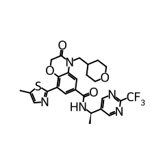 Cc1cnc(-c2cc(C(=O)N[C@H](C)c3cnc(C(F)(F)F)nc3)cc3c2OCC(=O)N3CC2CCOCC2)s1